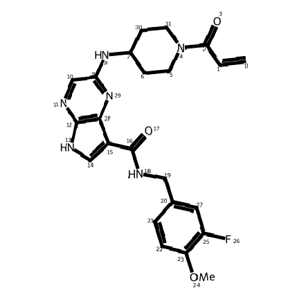 C=CC(=O)N1CCC(Nc2cnc3[nH]cc(C(=O)NCc4ccc(OC)c(F)c4)c3n2)CC1